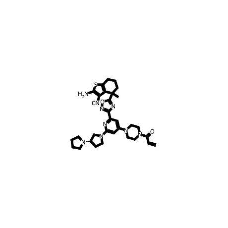 C=CC(=O)N1CCN(c2cc(-c3noc(C4(C)CCCc5sc(N)c(C#N)c54)n3)nc(N3CC[C@H](N4CCCC4)C3)c2)CC1